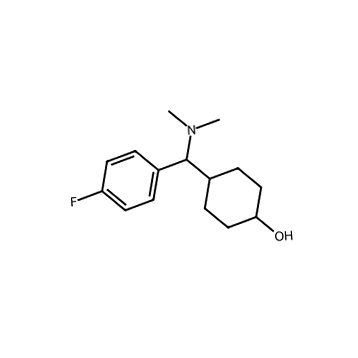 CN(C)C(c1ccc(F)cc1)C1CCC(O)CC1